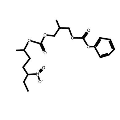 CCC(CCC(C)OC(=O)OCC(C)COC(=O)Oc1ccccc1)[N+](=O)[O-]